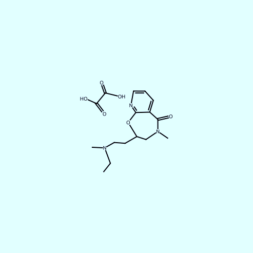 CCN(C)CCC1CN(C)C(=O)c2cccnc2O1.O=C(O)C(=O)O